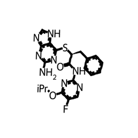 CC(C)Oc1nc(NC(=O)[C@H](Cc2ccccc2)Sc2nc(N)nc3nc[nH]c23)ncc1F